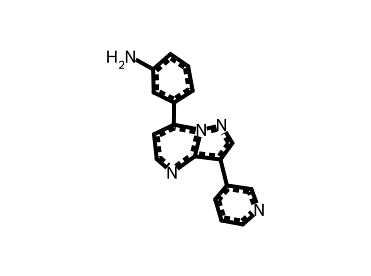 Nc1cccc(-c2ccnc3c(-c4cccnc4)cnn23)c1